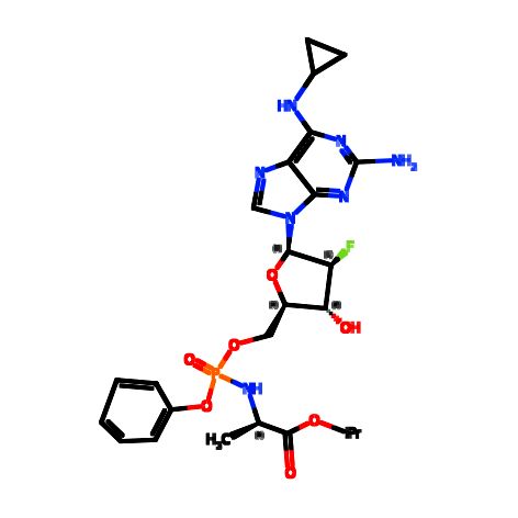 CC(C)OC(=O)[C@@H](C)NP(=O)(OC[C@H]1O[C@@H](n2cnc3c(NC4CC4)nc(N)nc32)[C@@H](F)[C@@H]1O)Oc1ccccc1